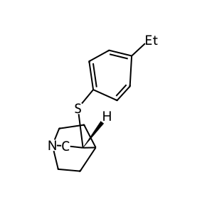 CCc1ccc(S[C@H]2CN3CCC2CC3)cc1